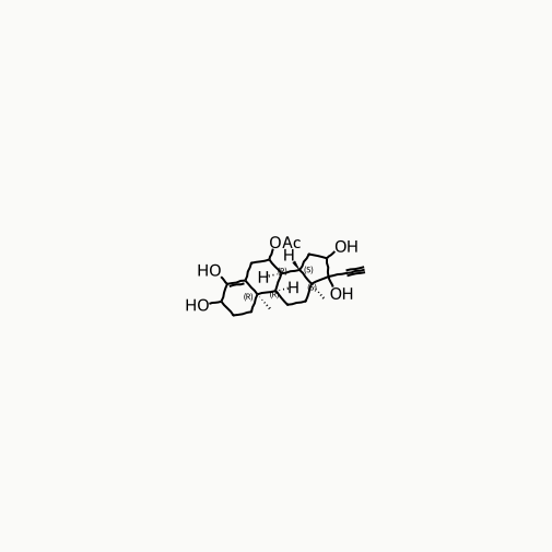 C#CC1(O)C(O)C[C@H]2[C@@H]3C(OC(C)=O)CC4=C(O)C(O)CC[C@]4(C)[C@@H]3CC[C@@]21C